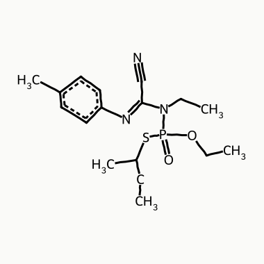 CCOP(=O)(SC(C)CC)N(CC)C(C#N)=Nc1ccc(C)cc1